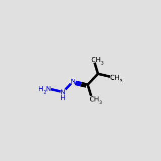 C/C(=N\NN)C(C)C